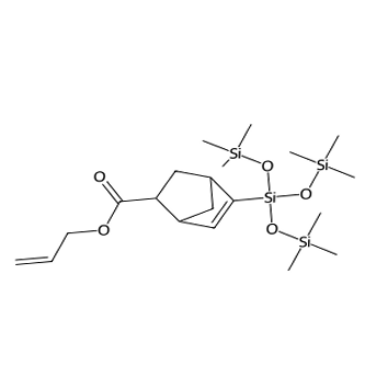 C=CCOC(=O)C1CC2CC1C=C2[Si](O[Si](C)(C)C)(O[Si](C)(C)C)O[Si](C)(C)C